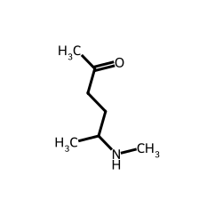 CNC(C)CCC(C)=O